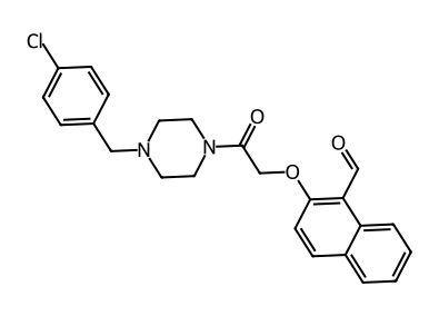 O=Cc1c(OCC(=O)N2CCN(Cc3ccc(Cl)cc3)CC2)ccc2ccccc12